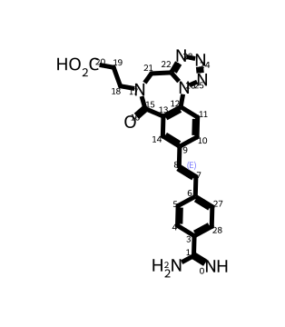 N=C(N)c1ccc(/C=C/c2ccc3c(c2)C(=O)N(CCC(=O)O)Cc2nnnn2-3)cc1